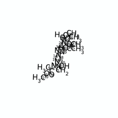 C=N/C(=N\C=C(/C)C(=O)OCC)N1CCN(c2ncc(CN(C(=O)OC(C)(C)C)C(=O)OC(C)(C)C)cn2)C[C@@H]1CO